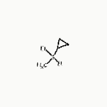 CCS(C)(CC)C1CC1